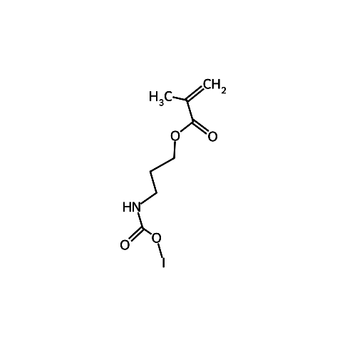 C=C(C)C(=O)OCCCNC(=O)OI